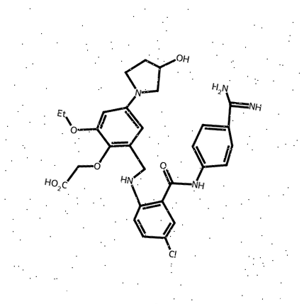 CCOc1cc(N2CCC(O)C2)cc(CNc2ccc(Cl)cc2C(=O)Nc2ccc(C(=N)N)cc2)c1OCC(=O)O